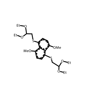 CCOC(CSc1ccc(OC)c2c(SCC(OCC)OCC)ccc(OC)c12)OCC